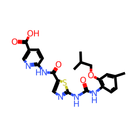 Cc1ccc(NC(=O)Nc2ncc(C(=O)Nc3ccc(C(=O)O)cn3)s2)c(OCC(C)C)c1